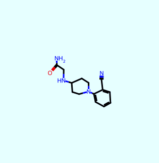 N#Cc1ccccc1N1CCC(NCC(N)=O)CC1